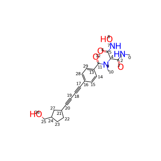 CNC(=O)C(C(=O)NO)N(C)C(=O)c1ccc(C#CC#CC2CCC(CO)C2)cc1